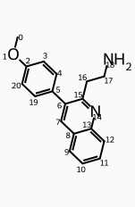 COc1ccc(-c2cc3ccccc3nc2CCN)cc1